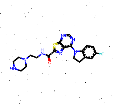 O=C(NCCN1CCNCC1)c1nc2c(N3CCc4cc(F)ccc43)ncnc2s1